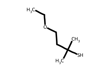 CCOCCC(C)(C)S